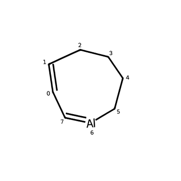 C1=CCCC[CH2][Al]=[CH]1